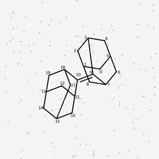 C1C2CC3CC1CC(C2)C3=C1C2CC3CC(C2)CC1C3